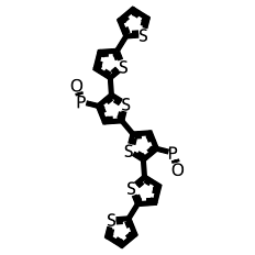 O=Pc1cc(-c2cc(P=O)c(-c3ccc(-c4cccs4)s3)s2)sc1-c1ccc(-c2cccs2)s1